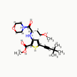 COCC[C@H](Nc1cc(C#CC(C)(C)C)sc1C(=O)OC)C(=O)N1CCOCC1